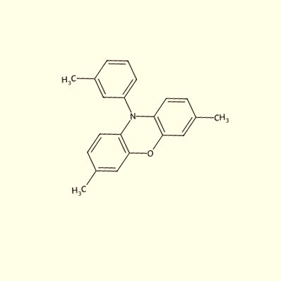 Cc1cccc(N2c3ccc(C)cc3Oc3cc(C)ccc32)c1